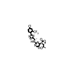 C[C@H](Nc1nccc(N2C(=O)OC[C@@H]2[C@@H](C)O)n1)c1nc(-c2ccc(Cl)cc2C(F)(F)F)no1